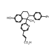 CC(C)c1ccc(N2CCc3cc(O)ccc3C2(C)c2ccc(/C=C/C(=O)O)cn2)cc1